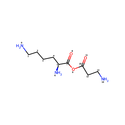 NCCCC[C@H](N)C(=O)OC(=O)CCN